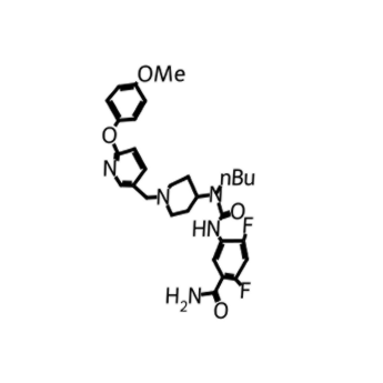 CCCCN(C(=O)Nc1cc(C(N)=O)c(F)cc1F)C1CCN(Cc2ccc(Oc3ccc(OC)cc3)nc2)CC1